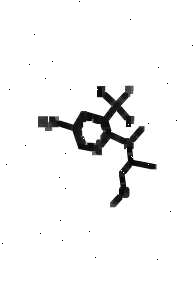 COCC(C)N(C)c1ncc(N)cc1C(F)(F)F